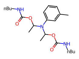 CCCCNC(=O)OC(C)N(c1cccc(C)c1)C(C)OC(=O)NCCCC